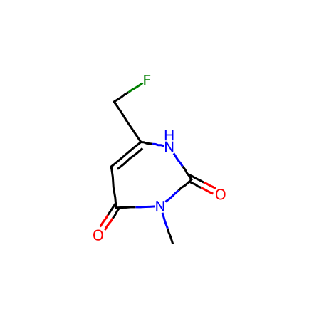 Cn1c(=O)cc(CF)[nH]c1=O